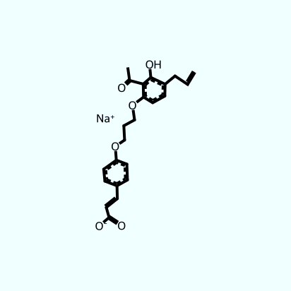 C=CCc1ccc(OCCCOc2ccc(C=CC(=O)[O-])cc2)c(C(C)=O)c1O.[Na+]